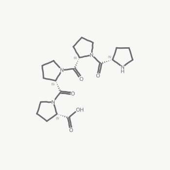 O=C(O)[C@@H]1CCCN1C(=O)[C@@H]1CCCN1C(=O)[C@@H]1CCCN1C(=O)[C@@H]1CCCN1